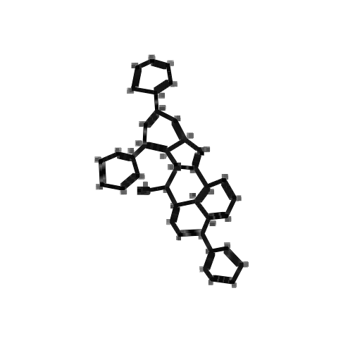 OC1c2ccc(-c3ccccc3)c3cccc(c23)-c2nc3cc(-c4ccccc4)cc(-c4ccccc4)c3n21